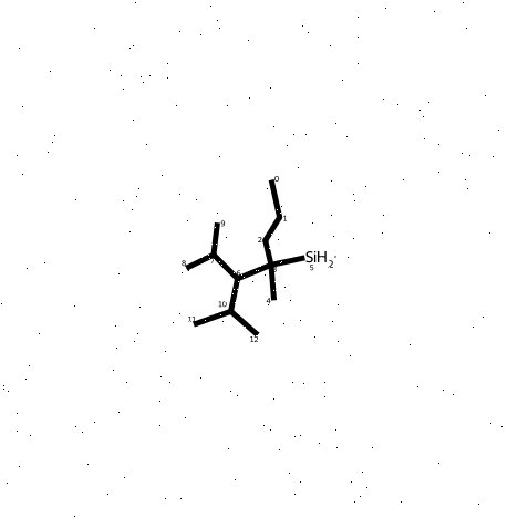 CCCC(C)([SiH2])C(C(C)C)C(C)C